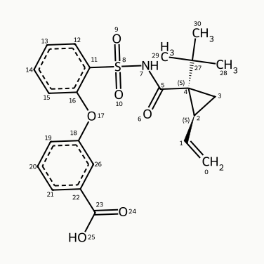 C=C[C@@H]1C[C@@]1(C(=O)NS(=O)(=O)c1ccccc1Oc1cccc(C(=O)O)c1)C(C)(C)C